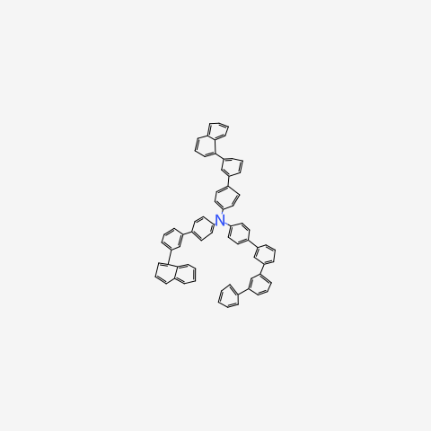 c1ccc(-c2cccc(-c3cccc(-c4ccc(N(c5ccc(-c6cccc(-c7cccc8ccccc78)c6)cc5)c5ccc(-c6cccc(-c7cccc8ccccc78)c6)cc5)cc4)c3)c2)cc1